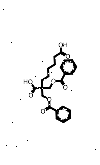 O=C(O)CCCCCC(COC(=O)c1ccccc1)(COC(=O)c1ccccc1)C(=O)O